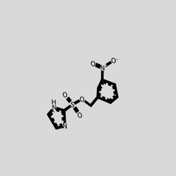 O=[N+]([O-])c1cccc(COS(=O)(=O)c2ncc[nH]2)c1